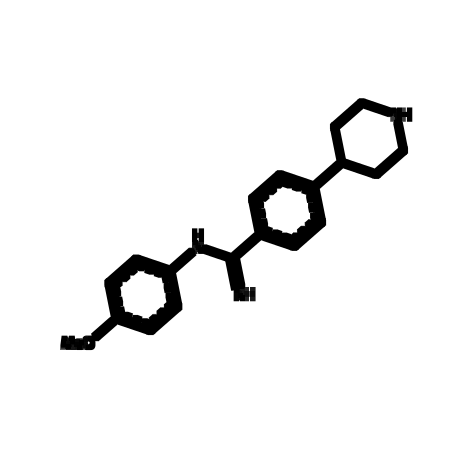 COc1ccc(NC(=N)c2ccc(C3CCNCC3)cc2)cc1